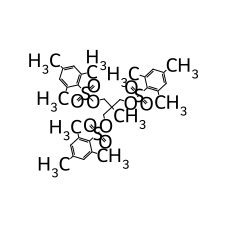 Cc1cc(C)c(S(=O)(=O)OCC(C)(COS(=O)(=O)c2c(C)cc(C)cc2C)COS(=O)(=O)c2c(C)cc(C)cc2C)c(C)c1